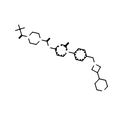 CC(C)(N)C(=O)N1CCN(C(=O)Nc2ccn(-c3ccc(CN4CC(C5CCNCC5)C4)cc3)c(=O)n2)CC1.Cl